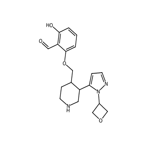 O=Cc1c(O)cccc1OCC1CCNCC1c1ccnn1C1COC1